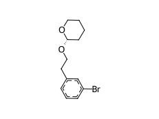 Brc1cccc(CCO[C@H]2CCCCO2)c1